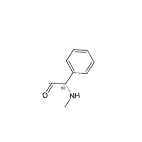 CN[C@H]([C]=O)c1ccccc1